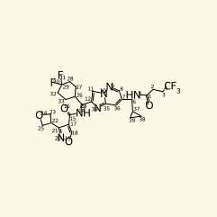 O=C(CCC(F)(F)F)NC(c1cnn2cc([C@@H](NC(=O)c3conc3C3COC3)C3CCC(F)(F)CC3)nc2c1)C1CC1